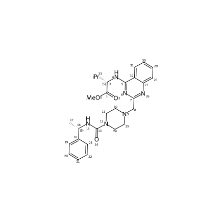 COC(=O)[C@@H](Nc1nc(CN2CCN(C(=O)N[C@@H](C)c3ccccc3)CC2)nc2ccccc12)C(C)C